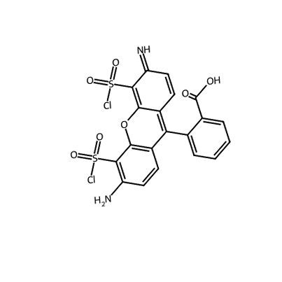 N=c1ccc2c(-c3ccccc3C(=O)O)c3ccc(N)c(S(=O)(=O)Cl)c3oc-2c1S(=O)(=O)Cl